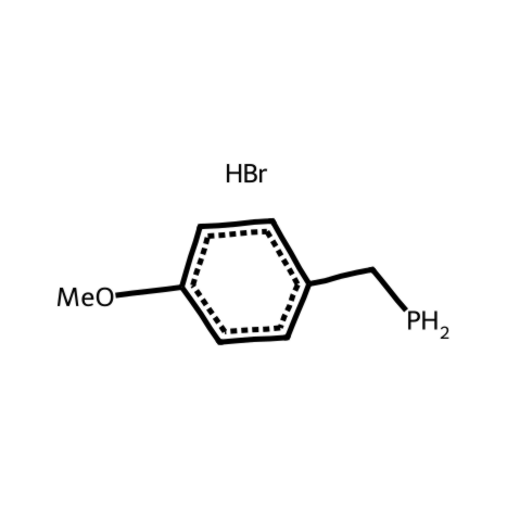 Br.COc1ccc(CP)cc1